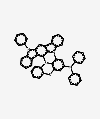 c1ccc(N(c2ccccc2)c2cc3c4c(c2)-n2c5ccccc5c5cc6c(c(c52)B4c2ccccc2S3)c2ccccc2n6-c2ccccc2)cc1